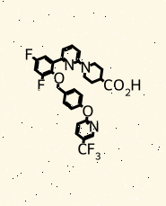 O=C(O)C1CCN(c2cccc(-c3cc(F)cc(F)c3OCc3ccc(Oc4ccc(C(F)(F)F)cn4)cc3)n2)CC1